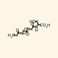 NCC(=O)NCC(=O)NCC(=O)NC(CO)C(=O)O